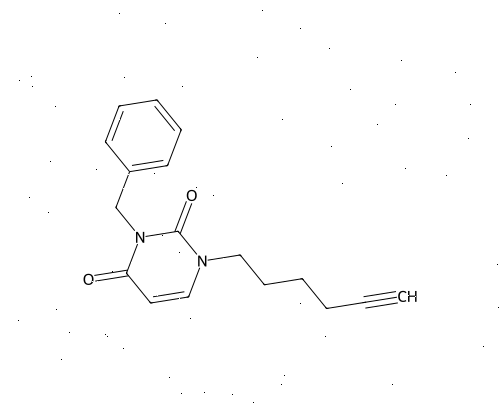 C#CCCCCn1ccc(=O)n(Cc2ccccc2)c1=O